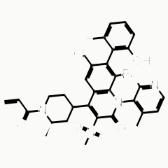 C=CC(=O)N1CCC(c2c(S(C)(=O)=O)c(=O)n(-c3c(C)ccnc3C(C)C)c3c(F)c(-c4c(O)cccc4F)c(Cl)cc23)C[C@H]1C